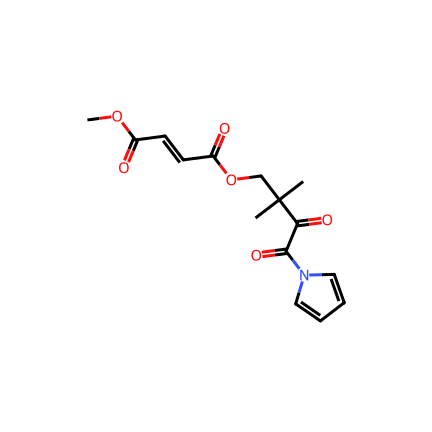 COC(=O)/C=C/C(=O)OCC(C)(C)C(=O)C(=O)n1cccc1